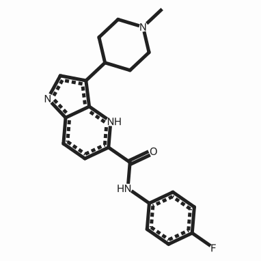 CN1CCC(c2cnc3ccc(C(=O)Nc4ccc(F)cc4)[nH]c2-3)CC1